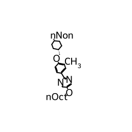 CCCCCCCCC[C@H]1CC[C@H](COc2ccc(-c3ncc(OCCCCCCCC)cn3)cc2C)CC1